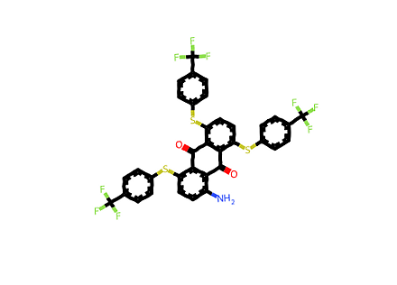 Nc1ccc(Sc2ccc(C(F)(F)F)cc2)c2c1C(=O)c1c(Sc3ccc(C(F)(F)F)cc3)ccc(Sc3ccc(C(F)(F)F)cc3)c1C2=O